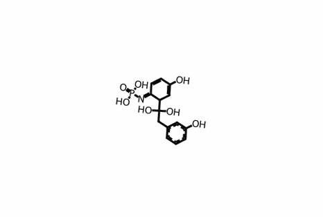 O=P(O)(O)N=C1C=CC(O)=CC1C(O)(O)Cc1cccc(O)c1